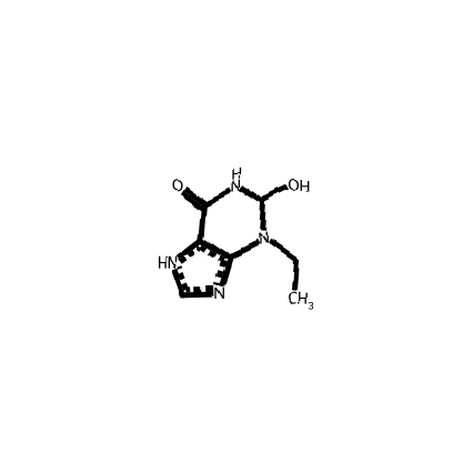 CCN1c2nc[nH]c2C(=O)NC1O